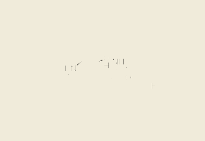 NC(=O)[C@H](Cc1cccc(F)c1)C[C@H](O)[C@@H](N)Cc1ccccc1